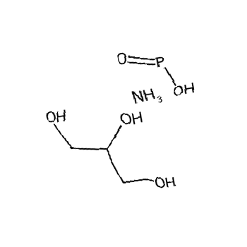 N.O=PO.OCC(O)CO